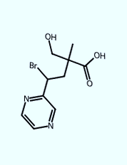 CC(CO)(CC(Br)c1cnccn1)C(=O)O